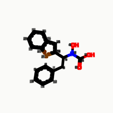 O=C(O)N(O)C(Cc1ccccc1)c1cc2ccccc2s1